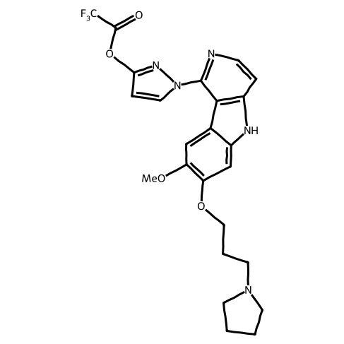 COc1cc2c(cc1OCCCN1CCCC1)[nH]c1ccnc(-n3ccc(OC(=O)C(F)(F)F)n3)c12